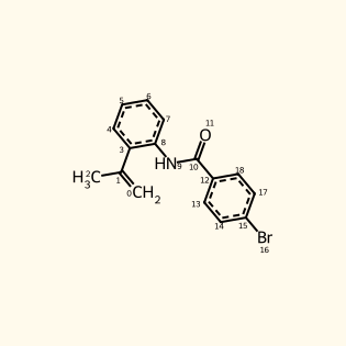 C=C(C)c1ccccc1NC(=O)c1ccc(Br)cc1